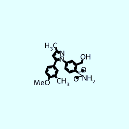 COc1ccc(-c2cc(C)nn2-c2ccc(S(N)(=O)=O)c(CO)c2)cc1C